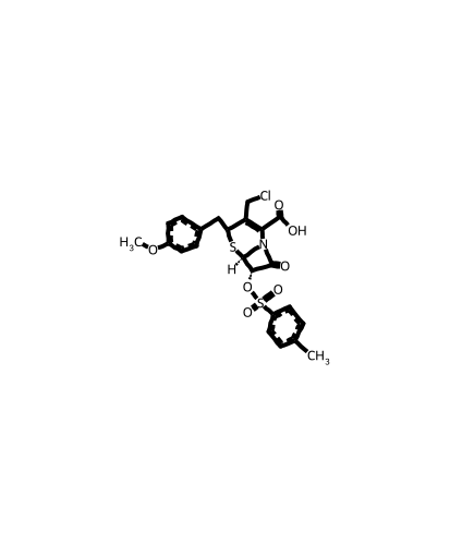 COc1ccc(CC2S[C@@H]3[C@@H](OS(=O)(=O)c4ccc(C)cc4)C(=O)N3C(C(=O)O)=C2CCl)cc1